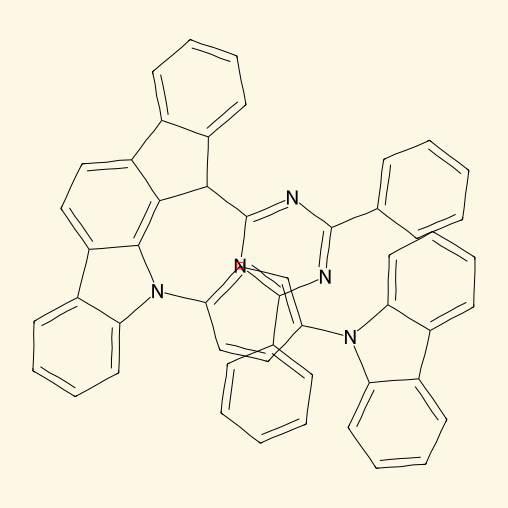 c1ccc(-c2nc(-c3ccccc3)nc(C3c4ccccc4-c4ccc5c6ccccc6n(-c6ccc(-n7c8ccccc8c8ccccc87)cc6)c5c43)n2)cc1